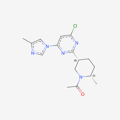 CC(=O)N1C[C@H](c2nc(Cl)cc(-n3cnc(C)c3)n2)CC[C@@H]1C